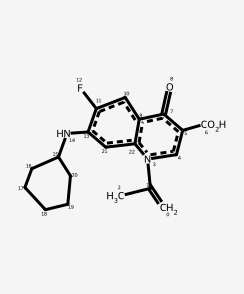 C=C(C)n1cc(C(=O)O)c(=O)c2cc(F)c(NC3CCCCC3)cc21